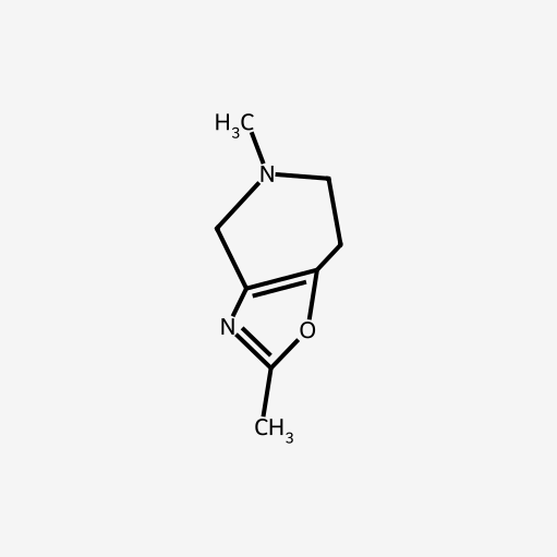 Cc1nc2c(o1)CCN(C)C2